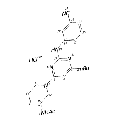 CCCCc1cc(N2CCC[C@@H](NC(C)=O)C2)nc(Nc2cccc(C#N)c2)n1.Cl